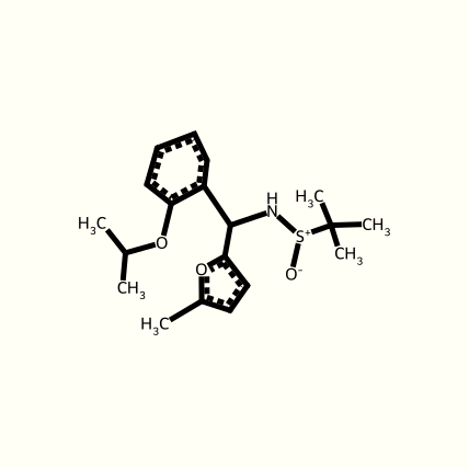 Cc1ccc(C(N[S+]([O-])C(C)(C)C)c2ccccc2OC(C)C)o1